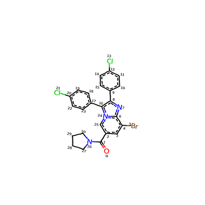 O=C(c1cc(Br)c2nc(-c3ccc(Cl)cc3)c(-c3ccc(Cl)cc3)n2c1)N1CCCC1